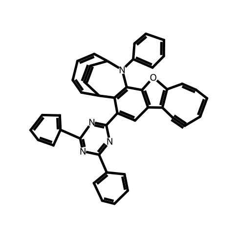 C1#Cc2c(oc3c4c(c(-c5nc(-c6ccccc6)nc(-c6ccccc6)n5)cc23)C2C#CC(/C=C\C=C/2)N4c2ccccc2)/C=C\C=C/1